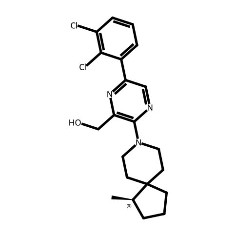 C[C@@H]1CCCC12CCN(c1ncc(-c3cccc(Cl)c3Cl)nc1CO)CC2